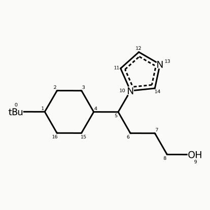 CC(C)(C)C1CCC(C(CCCO)n2ccnc2)CC1